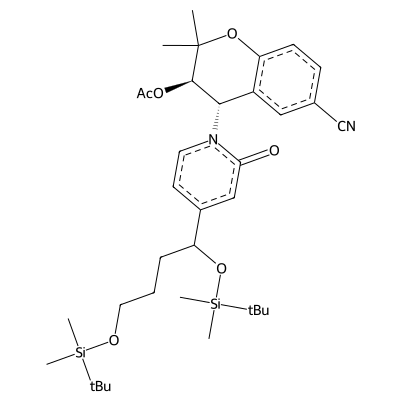 CC(=O)O[C@@H]1[C@@H](n2ccc(C(CCCO[Si](C)(C)C(C)(C)C)O[Si](C)(C)C(C)(C)C)cc2=O)c2cc(C#N)ccc2OC1(C)C